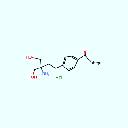 CCCCCCCC(=O)c1ccc(CCC(N)(CO)CO)cc1.Cl